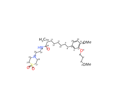 COCCCOc1cc(CCCCCC[C@@H](C)C(=O)NCCN2CCS(=O)(=O)CC2)ccc1OC